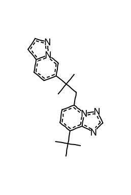 CC(C)(C)c1ccc(CC(C)(C)c2ccc3ccnn3c2)n2ncnc12